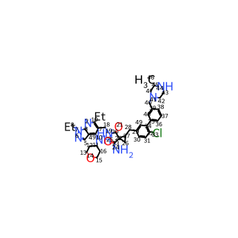 CCc1nc2c(cnn2CC)c(NC2CCOCC2)c1CNC(=O)C1(C(N)=O)CC1Cc1ccc(Cl)c(-c2cccc(CN3CCN[C@@H](C)C3)c2)c1